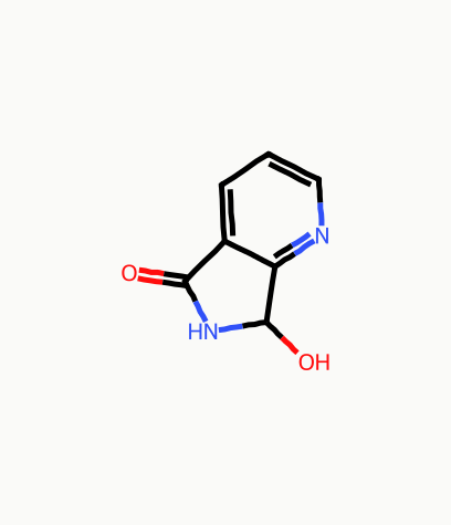 O=C1NC(O)c2ncccc21